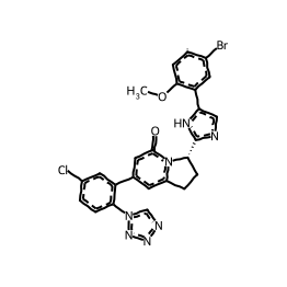 COc1c[c]c(Br)cc1-c1cnc([C@@H]2CCc3cc(-c4cc(Cl)ccc4-n4cnnn4)cc(=O)n32)[nH]1